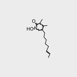 CC=CCCCCCc1cn(O)c(=O)c(C)c1C